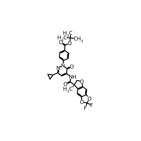 CC(C)(C)OC(=O)c1ccc(-n2nc(C3CC3)cc(NC(=O)[C@]3(C)COc4cc5c(cc43)OC(F)(F)O5)c2=O)cc1